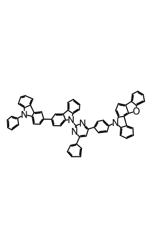 c1ccc(-c2cc(-c3ccc(-n4c5ccccc5c5c6oc7ccccc7c6ccc54)cc3)nc(-n3c4ccccc4c4cc(-c5ccc6c(c5)c5ccccc5n6-c5ccccc5)ccc43)n2)cc1